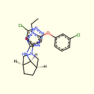 CCn1nc(N[C@H]2[C@@H]3CC[C@H]2CN(c2cnnc(Cl)c2)C3)nc1Oc1cccc(Cl)c1